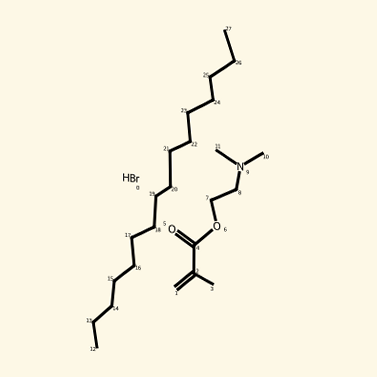 Br.C=C(C)C(=O)OCCN(C)C.CCCCCCCCCCCCCCCC